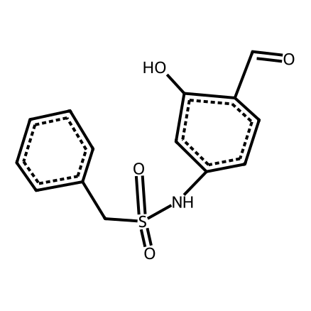 O=Cc1ccc(NS(=O)(=O)Cc2ccccc2)cc1O